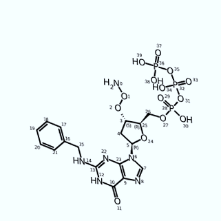 NOO[C@H]1C[C@H](n2cnc3c(=O)[nH]c(NCc4ccccc4)nc32)O[C@@H]1COP(=O)(O)OP(=O)(O)OP(=O)(O)O